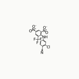 N#Cc1ccc(Nc2c([N+](=O)[O-])cc([N+](=O)[O-])cc2C(F)(F)F)cc1Cl